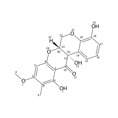 COc1cc2c(c(O)c1C)C(=O)[C@]1(O)c3cccc(O)c3OC[C@H]1O2